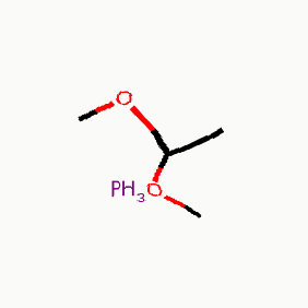 COC(C)OC.P